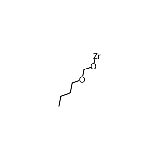 CCCCOC[O][Zr]